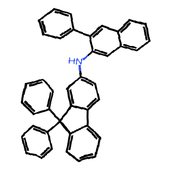 c1ccc(-c2cc3ccccc3cc2Nc2ccc3c(c2)C(c2ccccc2)(c2ccccc2)c2ccccc2-3)cc1